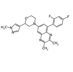 Cc1nc2cc(N3CCOC(c4cnn(C)c4)C3)cc(-c3ccc(F)cc3F)c2nc1C